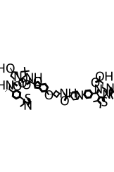 Cc1ncsc1-c1ccc([C@H](C)NC(=O)[C@@H]2C[C@@H](O)CN2C(=O)[C@@H](NC(=O)c2cc3cc(O[C@H]4C[C@@H](NC(=O)C5CCN(c6ccc(C7=N[C@@H](CC(=O)O)c8nnc(C)n8-c8sc(C)c(C)c87)cc6)CC5)C4)ccc3o2)C(C)(C)C)cc1